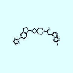 Cc1nn2c(CC(=O)N3CCC4(CC3)CN(C3CCc5cc(-n6nccn6)ccc53)C4)cnc2s1